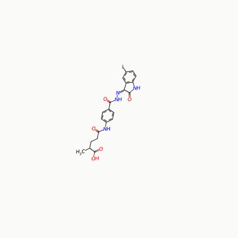 CC(CCC(=O)Nc1ccc(C(=O)NN=C2C(=O)Nc3ccc(I)cc32)cc1)C(=O)O